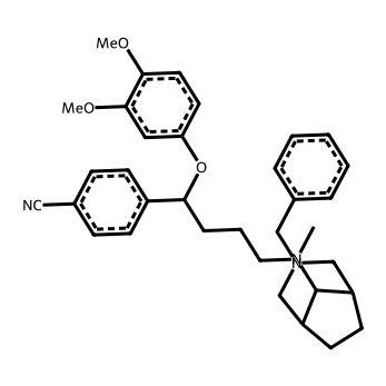 COc1ccc(OC(CCCN(C)C2C3CCC2CN(Cc2ccccc2)C3)c2ccc(C#N)cc2)cc1OC